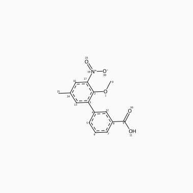 COc1c(-c2cccc(C(=O)O)c2)cc(C)cc1[N+](=O)[O-]